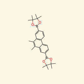 Cc1c(C)c2cc(B3OC(C)(C)C(C)(C)O3)ccc2c2ccc(B3OC(C)(C)C(C)(C)O3)cc12